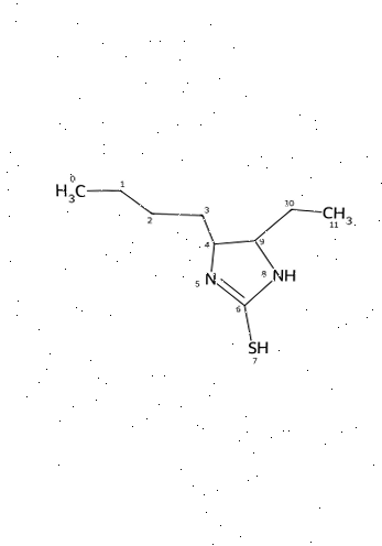 CCCCC1N=C(S)NC1CC